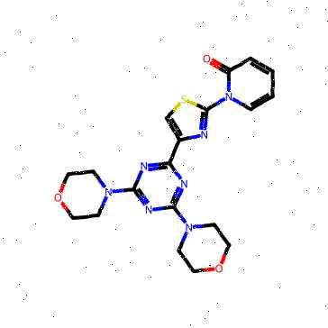 O=c1ccccn1-c1nc(-c2nc(N3CCOCC3)nc(N3CCOCC3)n2)cs1